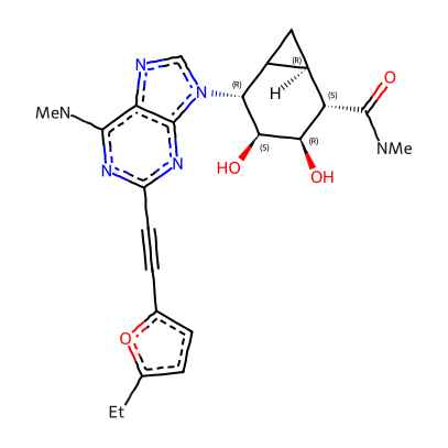 CCc1ccc(C#Cc2nc(NC)c3ncn([C@@H]4C5C[C@H]5[C@H](C(=O)NC)[C@@H](O)[C@H]4O)c3n2)o1